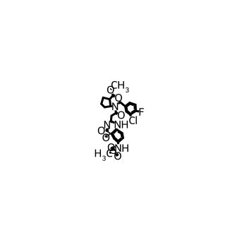 COC(=O)C1CCCC1N(Cc1ccc(F)c(Cl)c1)C(=O)CC1=NS(=O)(=O)c2cc(NS(C)(=O)=O)ccc2N1